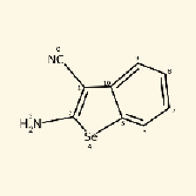 N#Cc1c(N)[se]c2ccccc12